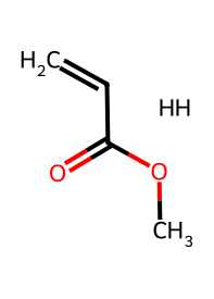 C=CC(=O)OC.[HH]